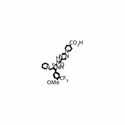 COc1ccc(C2=C(CN3CCCCC3)SC(NC(=O)c3cnc(N4CCC(C(=O)O)CC4)cn3)N2)cc1C(F)(F)F